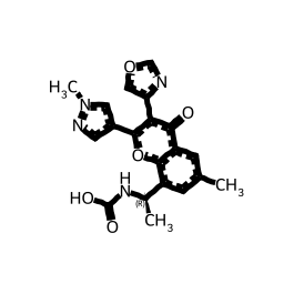 Cc1cc([C@@H](C)NC(=O)O)c2oc(-c3cnn(C)c3)c(-c3cocn3)c(=O)c2c1